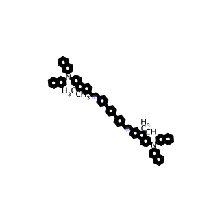 CC1(C)c2cc(/C=C/c3ccc(-c4ccc(-c5ccc(/C=C/c6ccc7c(c6)C(C)(C)c6cc(N(c8ccc9ccccc9c8)c8ccc9ccccc9c8)ccc6-7)cc5)cc4)cc3)ccc2-c2ccc(N(c3ccc4ccccc4c3)c3ccc4ccccc4c3)cc21